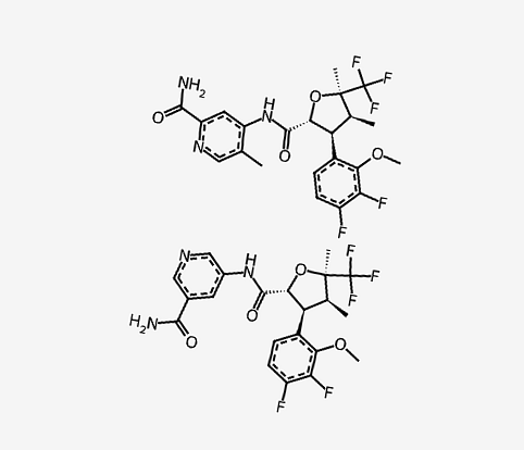 COc1c([C@H]2[C@H](C(=O)Nc3cc(C(N)=O)ncc3C)O[C@@](C)(C(F)(F)F)[C@H]2C)ccc(F)c1F.COc1c([C@H]2[C@H](C(=O)Nc3cncc(C(N)=O)c3)O[C@@](C)(C(F)(F)F)[C@H]2C)ccc(F)c1F